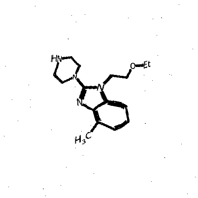 CCOCCn1c(N2CCNCC2)nc2c(C)cccc21